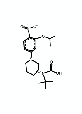 CC(C)Oc1cc(N2CCC[C@@H](N(C(=O)O)C(C)(C)C)C2)ccc1[N+](=O)[O-]